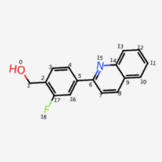 OCc1ccc(-c2ccc3ccccc3n2)cc1F